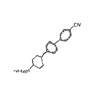 CCCCCCCC1CCC(c2ccc(-c3ccc(C#N)cc3)cc2)CC1